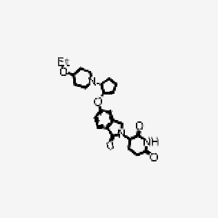 CCOC1CCN([C@@H]2CCC[C@H]2Oc2ccc3c(c2)CN(C2CCC(=O)NC2=O)C3=O)CC1